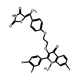 CC(=C1SC(=O)NC1=O)c1ccc(OCCOc2c(-c3ccc(F)c(F)c3)n(C)c3cc(F)ccc3c2=O)cc1